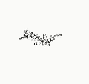 CCCCCCc1ccc(NC(=O)OC(C)NC(=O)OCCc2ccc(NC(=O)c3cc(Br)c[n+](CCC)c3)cc2)cc1.[Cl-]